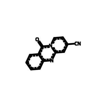 N#Cc1ccn2c(=O)c3ccccc3nc2c1